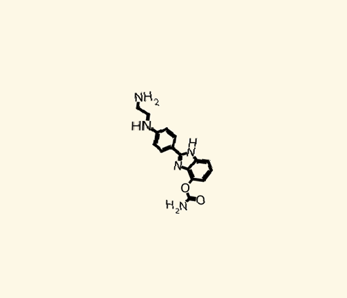 NCCNc1ccc(-c2nc3c(OC(N)=O)cccc3[nH]2)cc1